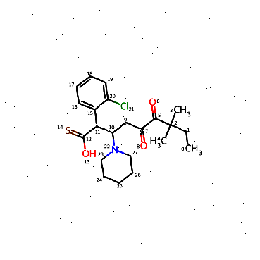 CCC(C)(C)C(=O)C(=O)[CH]C(C(C(O)=S)c1ccccc1Cl)N1CCCCC1